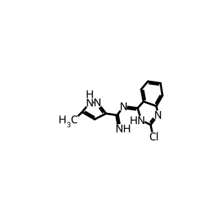 Cc1cc(C(=N)/N=c2\[nH]c(Cl)nc3ccccc23)n[nH]1